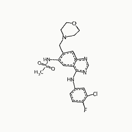 CS(=O)(=O)Nc1cc2c(Nc3ccc(F)c(Cl)c3)ncnc2cc1CN1CCOCC1